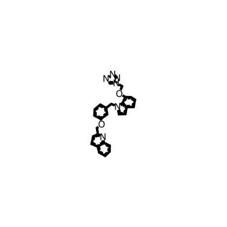 c1cc(Cn2ccc3cccc(OCn4cnnn4)c32)cc(OCc2ccc3ccccc3n2)c1